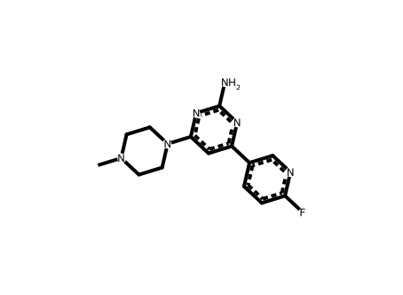 CN1CCN(c2cc(-c3ccc(F)nc3)nc(N)n2)CC1